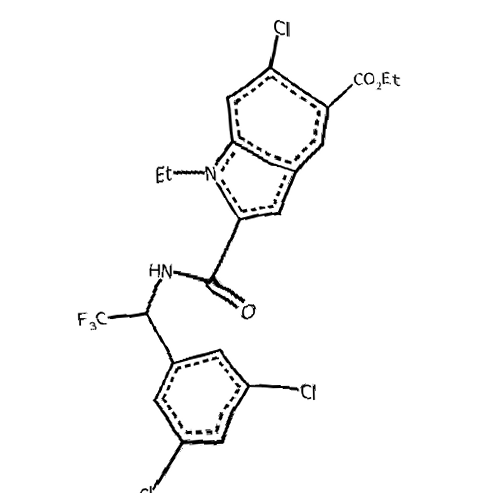 CCOC(=O)c1cc2cc(C(=O)NC(c3cc(Cl)cc(Cl)c3)C(F)(F)F)n(CC)c2cc1Cl